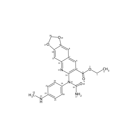 CCOC(=O)c1cc2cc3c(cc2nc1N(C(N)=O)c1ccc(NC)cc1)OCO3